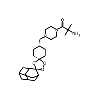 CC(C)(N)C(=O)N1CCN(C[C@H]2CC[C@]3(CC2)OO[C@]2(O3)C3CC4CC(C3)CC2C4)CC1